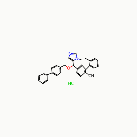 Cc1ccccc1-c1cc(C(OCc2ccc(-c3ccccc3)cc2)c2cncn2C)ccc1C#N.Cl